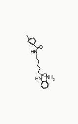 Cc1ccc(C(=O)NCCCCCCC(=O)Nc2ccccc2N)cc1